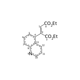 CCOC(=O)/C=C(\C(=O)OCC)c1cccc2ncccc12